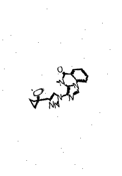 COC1(c2cn(-c3ncn4c5ccccc5c(=O)n(C)c34)nn2)CC1